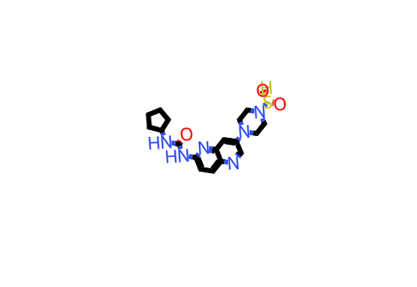 O=C(Nc1ccc2ncc(N3CCN([SH](=O)=O)CC3)cc2n1)NC1CCCC1